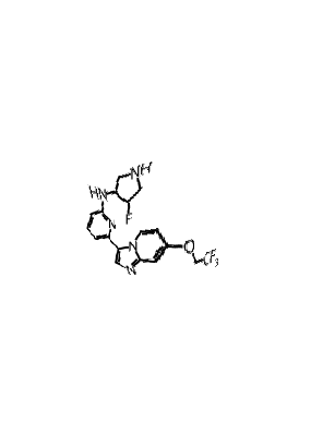 FC1CNCC1Nc1cccc(-c2cnc3cc(OCC(F)(F)F)ccn23)n1